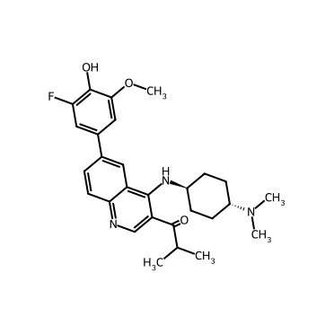 COc1cc(-c2ccc3ncc(C(=O)C(C)C)c(N[C@H]4CC[C@H](N(C)C)CC4)c3c2)cc(F)c1O